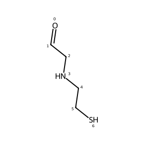 O=CCNCCS